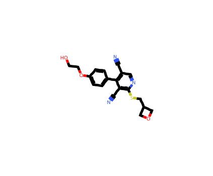 N#Cc1cnc(SCC2COC2)c(C#N)c1-c1ccc(OCCO)cc1